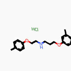 Cc1ccc(OCCNCCCOc2cccc(C)c2)cc1.Cl